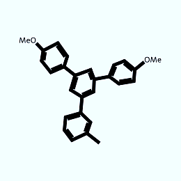 COc1ccc(-c2cc(-c3ccc(OC)cc3)cc(-c3cccc(C)c3)c2)cc1